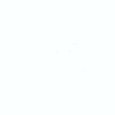 COc1cc(C2=CCNCC2)cc2c1C(=O)N(Cc1ccc(OC(F)(F)F)cc1)C2